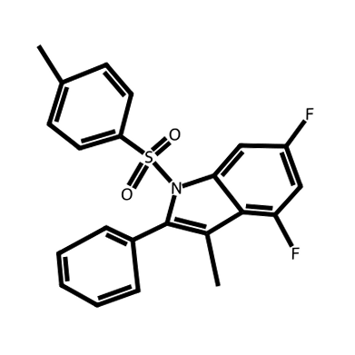 Cc1ccc(S(=O)(=O)n2c(-c3ccccc3)c(C)c3c(F)cc(F)cc32)cc1